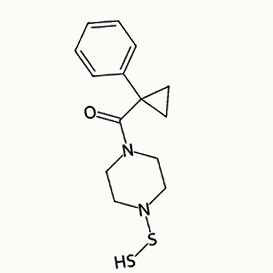 O=C(N1CCN(SS)CC1)C1(c2ccccc2)CC1